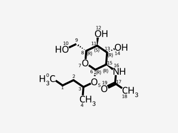 CCCC(C)O[C@@H]1O[C@H](CO)[C@@H](O)[C@H](O)[C@H]1NC(C)=O